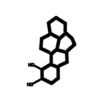 Oc1ccc2cc3ccc4cccc5ccc(c2c1O)c3c45